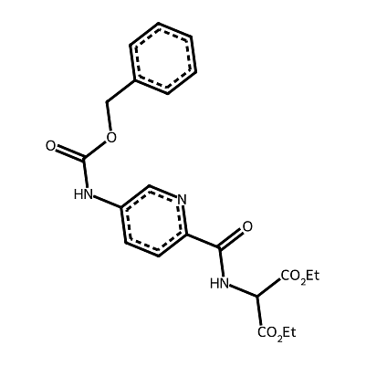 CCOC(=O)C(NC(=O)c1ccc(NC(=O)OCc2ccccc2)cn1)C(=O)OCC